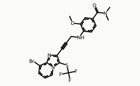 COc1cc(C(=O)N(C)C)ccc1NCC#Cc1nc2c(Br)cccn2c1SC(F)(F)F